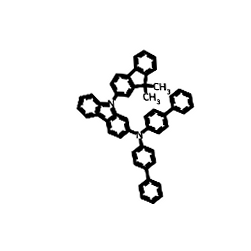 CC1(C)c2ccccc2-c2ccc(-n3c4ccccc4c4ccc(N(c5ccc(-c6ccccc6)cc5)c5ccc(-c6ccccc6)cc5)cc43)cc21